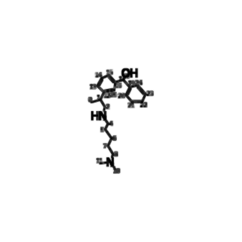 CC(CNCCCCCN(C)C)c1cccc(C(O)c2ccccc2)c1